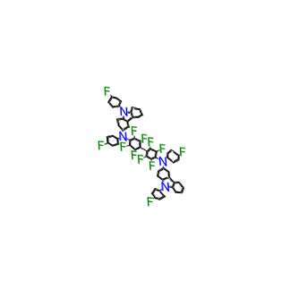 Fc1ccc(N(c2ccc3c(c2)c2ccccc2n3-c2ccc(F)cc2)c2c(F)c(F)c(-c3c(F)c(F)c(N(c4ccc(F)cc4)c4ccc5c(c4)c4ccccc4n5-c4ccc(F)cc4)c(F)c3F)c(F)c2F)cc1